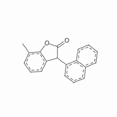 Cc1cccc2c1OC(=O)C2c1cccc2ccccc12